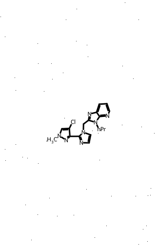 CCCn1c(Cn2ccnc2-c2nn(C)cc2Cl)nc2cccnc21